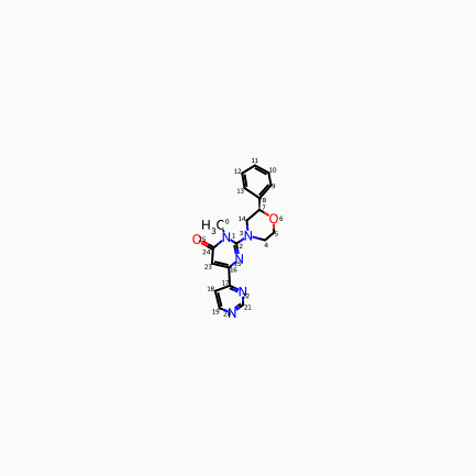 Cn1c(N2CCO[C@H](c3ccccc3)C2)nc(-c2ccncn2)cc1=O